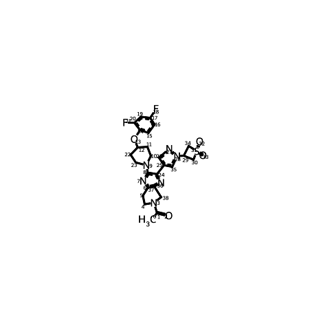 CC(=O)N1CCc2nc(N3CCC(Oc4ccc(F)cc4F)CC3)c(-c3cnn(C4CS(=O)(=O)C4)c3)nc2C1